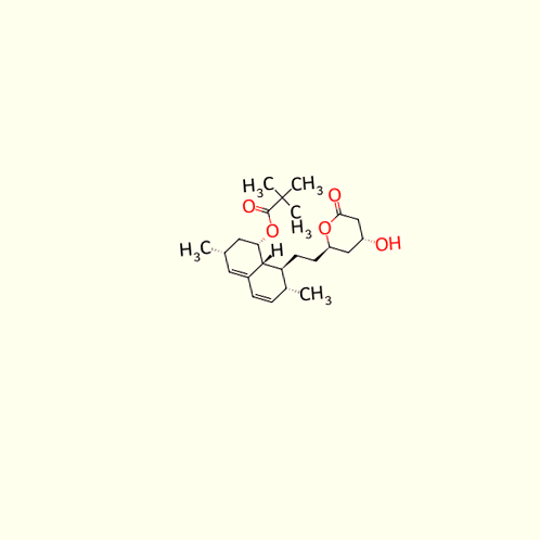 C[C@@H]1C=CC2=C[C@H](C)C[C@H](OC(=O)C(C)(C)C)[C@@H]2[C@H]1CC[C@@H]1C[C@@H](O)CC(=O)O1